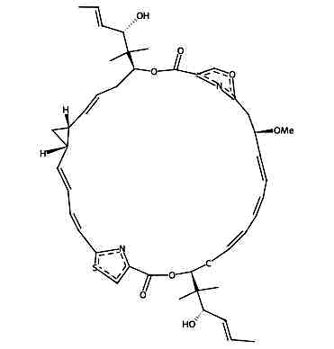 C/C=C/[C@H](O)C(C)(C)[C@@H]1C/C=C\[C@H]2C[C@H]2/C=C/C=C\c2nc(cs2)C(=O)O[C@H](C(C)(C)[C@@H](O)/C=C/C)C\C=C/C=C\C=C\[C@H](OC)Cc2nc(co2)C(=O)O1